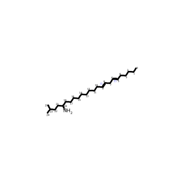 CCCCC/C=C/C/C=C/CCCCCCCCCC(N)CCC(C)C